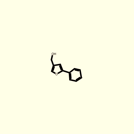 OCc1coc(-c2cc[c]cc2)c1